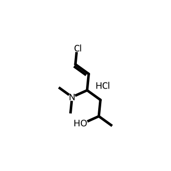 CC(O)CC(C=CCl)N(C)C.Cl